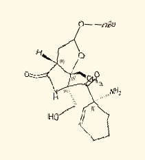 CCCCOC1C[C@H]2C(=O)N[C@](CO)(C(=O)[C@]3(N)C=CCCC3)[C@@]2(C)O1